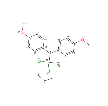 CCC.COc1ccc(C(c2ccc(OC)cc2)C(Cl)(Cl)Cl)cc1